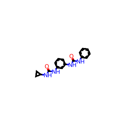 O=C(Nc1ccccc1)Nc1cccc(NC(=O)NC2CC2)c1